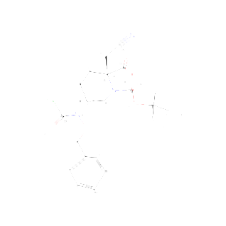 CC(C)(C)OC(=O)N1C[C@H](N(OCc2ccccc2)C(=O)Cl)CC[C@]1(CC#N)C(=O)O